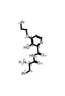 CC(C)CCOc1ccnc(C(=O)NC(=O)[C@@H](N)CC(C)C)c1O